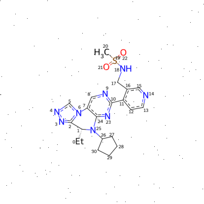 CC[C@@H]1c2nncn2-c2cnc(-c3ccncc3CNS(C)(=O)=O)nc2N1C1CCCC1